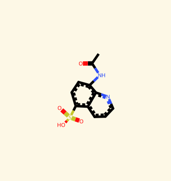 CC(=O)Nc1ccc(S(=O)(=O)O)c2cccnc12